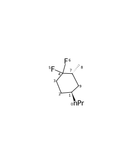 CCC[C@H]1CCC(F)(F)[C@H](C)C1